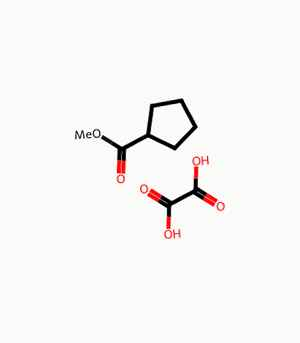 COC(=O)C1CCCC1.O=C(O)C(=O)O